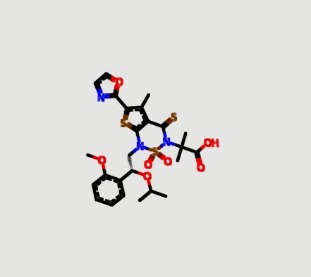 COc1ccccc1[C@H](CN1c2sc(-c3ncco3)c(C)c2C(=S)N(C(C)(C)C(=O)O)S1(=O)=O)OC(C)C